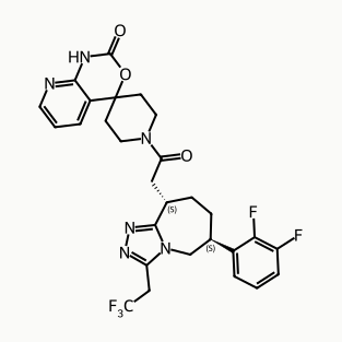 O=C1Nc2ncccc2C2(CCN(C(=O)C[C@@H]3CC[C@@H](c4cccc(F)c4F)Cn4c(CC(F)(F)F)nnc43)CC2)O1